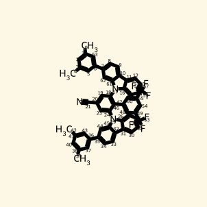 Cc1cc(C)cc(-c2ccc3c4ccccc4n(-c4cc(C#N)cc(-n5c6ccccc6c6ccc(-c7cc(C)cc(C)c7)cc65)c4-c4cc(C(F)(F)F)cc(C(F)(F)F)c4)c3c2)c1